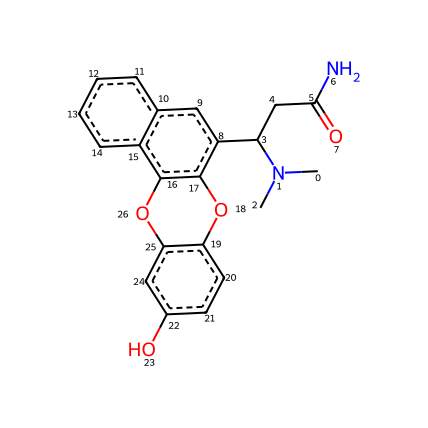 CN(C)C(CC(N)=O)c1cc2ccccc2c2c1Oc1ccc(O)cc1O2